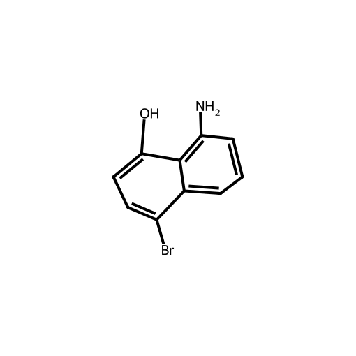 Nc1cccc2c(Br)ccc(O)c12